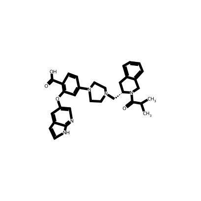 CC(C)C(=O)N1Cc2ccccc2C[C@H]1CN1CCN(c2ccc(C(=O)O)c(Oc3cnc4[nH]ccc4c3)c2)CC1